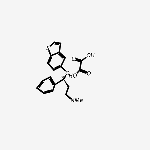 CNCC[C@H](Oc1ccc2sccc2c1)c1ccccc1.O=C(O)C(=O)O